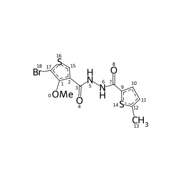 COc1c(C(=O)NNC(=O)c2ccc(C)s2)csc1Br